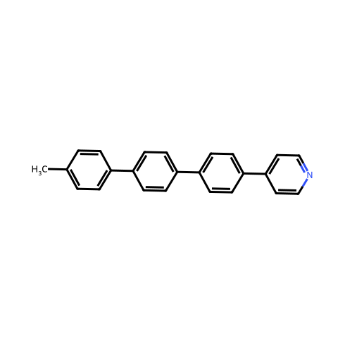 Cc1ccc(-c2ccc(-c3ccc(-c4ccncc4)cc3)cc2)cc1